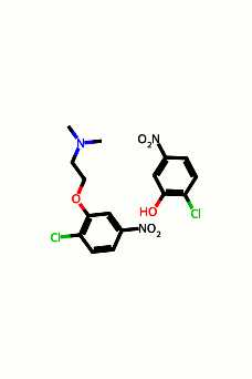 CN(C)CCOc1cc([N+](=O)[O-])ccc1Cl.O=[N+]([O-])c1ccc(Cl)c(O)c1